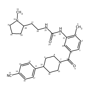 Cc1ccc(C(=O)N2CCC(c3ccc(C#N)cc3)CC2)cc1NC(=O)NCCC1CCCN1C